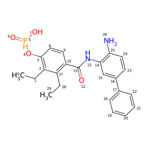 CCc1c(O[PH](=O)O)ccc(C(=O)Nc2cc(-c3ccccc3)ccc2N)c1CC